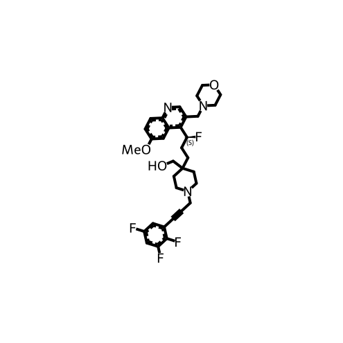 COc1ccc2ncc(CN3CCOCC3)c([C@@H](F)CCC3(CO)CCN(CC#Cc4cc(F)cc(F)c4F)CC3)c2c1